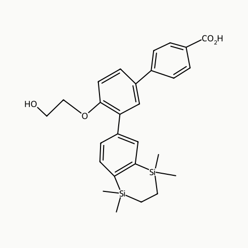 C[Si]1(C)CC[Si](C)(C)c2cc(-c3cc(-c4ccc(C(=O)O)cc4)ccc3OCCO)ccc21